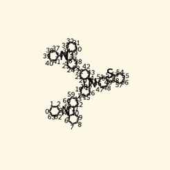 c1ccc(-n2c3ccccc3c3cc(-c4ccc5c(c4)c4cc(-c6ccc7c(c6)c6ccccc6n7-c6ccccc6)ccc4n5-c4ccc5c(c4)sc4ccccc45)ccc32)cc1